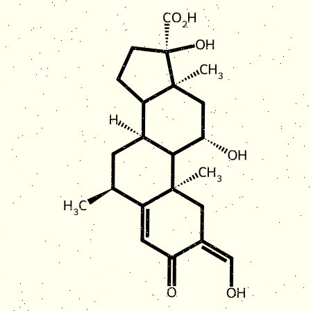 C[C@H]1C[C@@H]2C([C@@H](O)C[C@@]3(C)C2CC[C@]3(O)C(=O)O)[C@@]2(C)C/C(=C/O)C(=O)C=C12